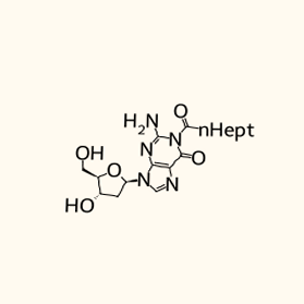 CCCCCCCC(=O)n1c(N)nc2c(ncn2[C@H]2C[C@H](O)[C@@H](CO)O2)c1=O